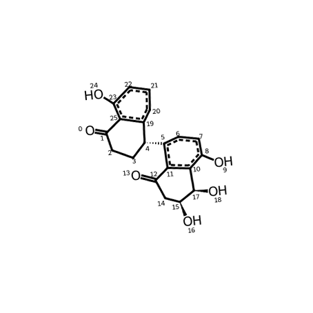 O=C1CC[C@@H](c2ccc(O)c3c2C(=O)C[C@H](O)[C@@H]3O)c2cccc(O)c21